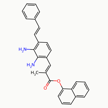 CC(=Cc1ccc(C=Cc2ccccc2)c(N)c1N)C(=O)Oc1cccc2ccccc12